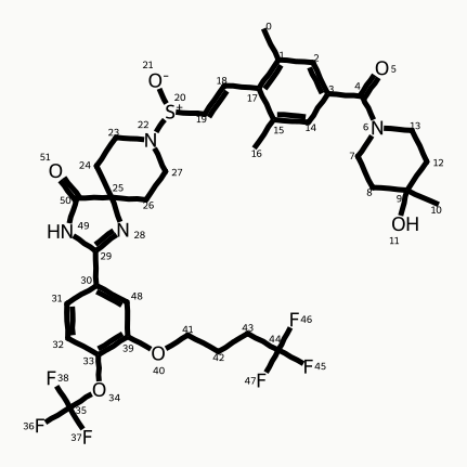 Cc1cc(C(=O)N2CCC(C)(O)CC2)cc(C)c1/C=C/[S+]([O-])N1CCC2(CC1)N=C(c1ccc(OC(F)(F)F)c(OCCCC(F)(F)F)c1)NC2=O